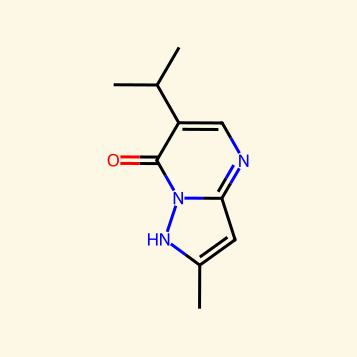 Cc1cc2ncc(C(C)C)c(=O)n2[nH]1